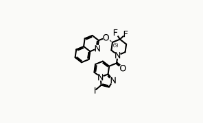 O=C(c1cccn2c(I)cnc12)N1CCC(F)(F)[C@@H](Oc2ccc3ccccc3n2)C1